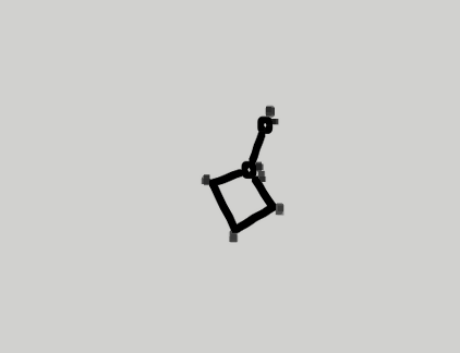 [O-][O+]1CCC1